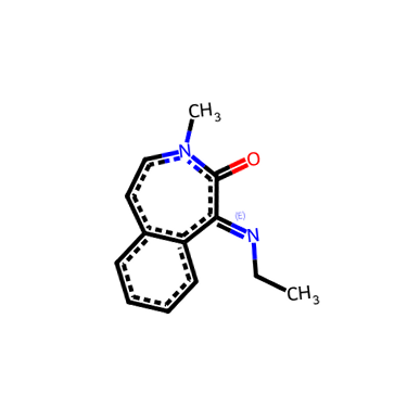 CC/N=c1/c(=O)n(C)ccc2ccccc12